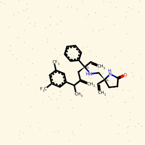 C=C[C@@]1(CN[C@](C=C)(CC(=C)C(C)c2cc(C(F)(F)F)cc(C(F)(F)F)c2)c2ccccc2)CCC(=O)N1